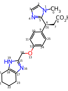 Cn1ccnc1[C@@H](CC(=O)O)c1ccc(OCc2nc3c([nH]2)CCCC3)cc1